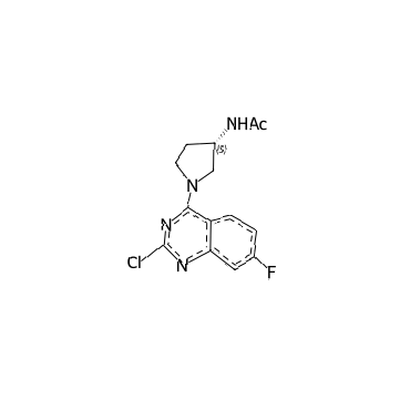 CC(=O)N[C@H]1CCN(c2nc(Cl)nc3cc(F)ccc23)C1